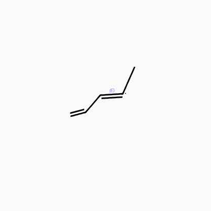 C=C/C=[C]/C